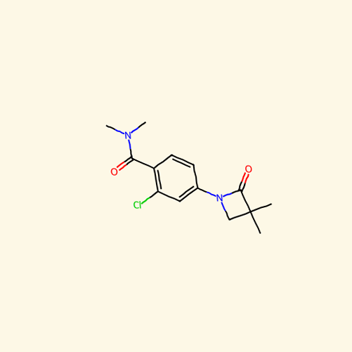 CN(C)C(=O)c1ccc(N2CC(C)(C)C2=O)cc1Cl